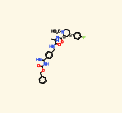 CC(NC(=O)[C@H]1C[C@@H](c2ccc(F)cc2)CCN1C(=O)O)C(=O)NCc1ccc(C(=N)NC(=O)OCc2ccccc2)cc1